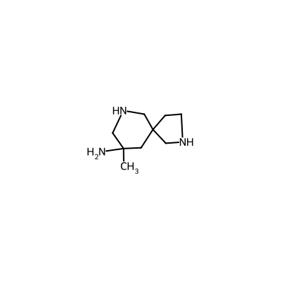 CC1(N)CNCC2(CCNC2)C1